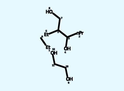 CCC.CCCC(O)C(CC)CO.OCCO